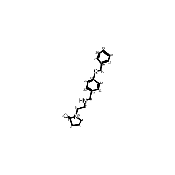 O=C1CCCN1CCNCc1ccc(OCc2ccccc2)cc1